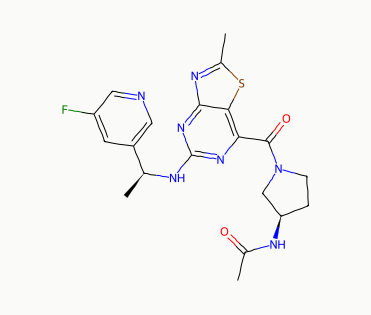 CC(=O)N[C@@H]1CCN(C(=O)c2nc(N[C@@H](C)c3cncc(F)c3)nc3nc(C)sc23)C1